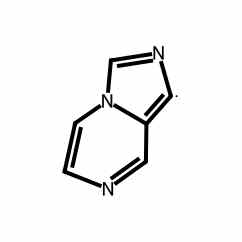 [c]1ncn2ccncc12